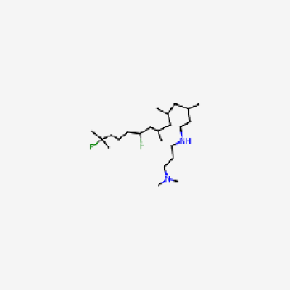 CC(CCNCCCN(C)C)CC(C)CC(C)CC(F)CCCC(C)(C)F